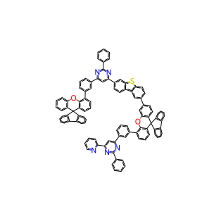 c1ccc(-c2nc(-c3cccc(-c4cccc5c4Oc4ccccc4C54c5ccccc5-c5ccccc54)c3)cc(-c3ccc4c(c3)sc3ccc(-c5ccc6c(c5)Oc5c(-c7cccc(-c8cc(-c9ccccn9)nc(-c9ccccc9)n8)c7)cccc5C65c6ccccc6-c6ccccc65)cc34)n2)cc1